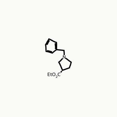 CCOC(=O)[C@@H]1CCN(Cc2ccccc2)C1